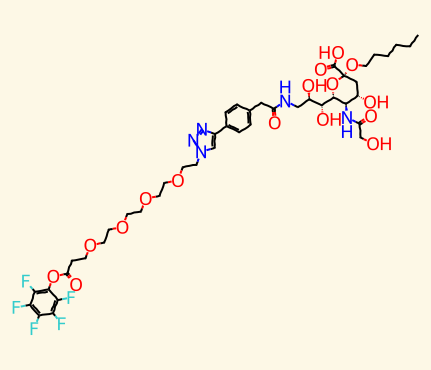 CCCCCCO[C@]1(C(=O)O)C[C@H](O)[C@@H](NC(=O)CO)[C@H]([C@H](O)[C@H](O)CNC(=O)Cc2ccc(-c3cn(CCOCCOCCOCCOCCC(=O)Oc4c(F)c(F)c(F)c(F)c4F)nn3)cc2)O1